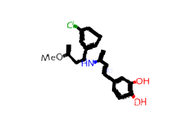 C=C(/C=C/c1ccc(O)c(O)c1)NC(CC(=C)OC)c1cccc(Cl)c1